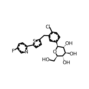 OC[C@H]1O[C@@H](c2ccc(Cl)c(Cc3ccc(-c4ccc(F)cn4)s3)c2)[C@H](O)[C@@H](O)[C@@H]1O